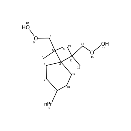 CCCC1CCC(C(C)(C)COO)(C(C)(C)COO)CC1